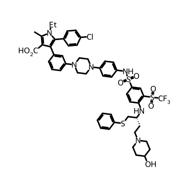 CCn1c(C)c(C(=O)O)c(-c2cccc(N3CCN(c4ccc(NS(=O)(=O)c5ccc(N[C@H](CCN6CCC(O)CC6)CSc6ccccc6)c(S(=O)(=O)C(F)(F)F)c5)cc4)CC3)c2)c1-c1ccc(Cl)cc1